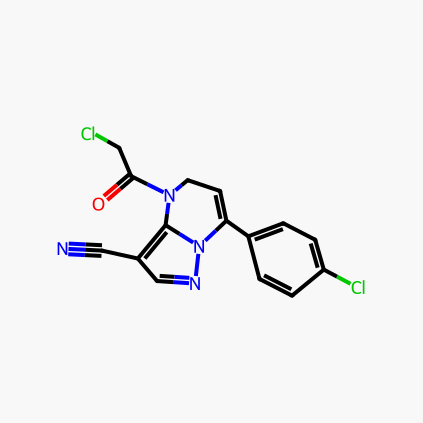 N#Cc1cnn2c1N(C(=O)CCl)CC=C2c1ccc(Cl)cc1